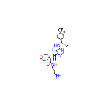 CN(C)CCCNC(=O)CC1(CNc2ncnc(NC(c3ccc(C(F)(F)F)cc3)C3CC3)c2F)CCOCC1